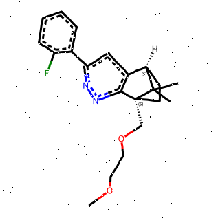 COCCOC[C@]12CC[C@H](c3cc(-c4ccccc4F)nnc31)C2(C)C